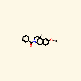 COc1ccc2c(c1)C1(C)CCN(C(=O)c3ccccc3)C(C2)C1